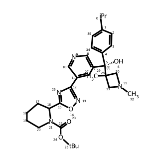 CC(C)c1ccc([C@](O)(c2cncc(-c3noc(C4CCCCN4C(=O)OC(C)(C)C)n3)c2)C2(C)CN(C)C2)cc1